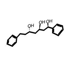 O[C@H](C[C@@H](O)CCc1ccccc1)C[C@@H](O)c1ccccc1